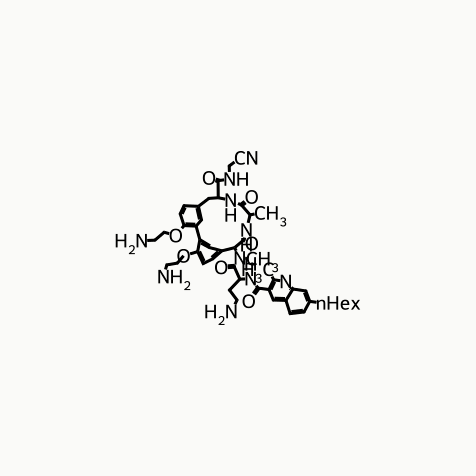 CCCCCCc1ccc2cc(C(=O)NC(CCN)C(=O)N(C)C3C(=O)NC(C)C(=O)NC(C(=O)NCC#N)Cc4ccc(OCCN)c(c4)-c4cc3ccc4OCCN)c(C)nc2c1